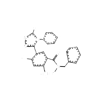 CN(Cc1ccccc1)C(=O)c1cc(-c2nnc(O)n2-c2ccccc2)c(O)cc1O